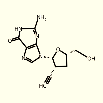 C#C[C@H]1C[C@@H](CO)O[C@H]1n1cnc2c(=O)[nH]c(N)nc21